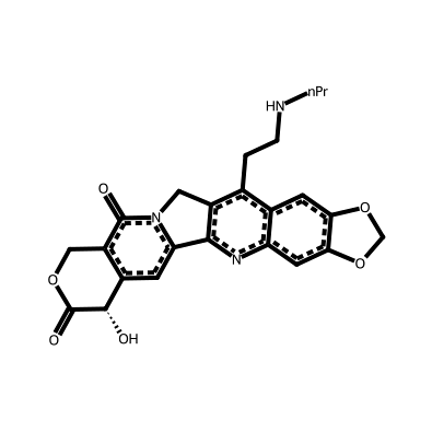 CCCNCCc1c2c(nc3cc4c(cc13)OCO4)-c1cc3c(c(=O)n1C2)COC(=O)[C@H]3O